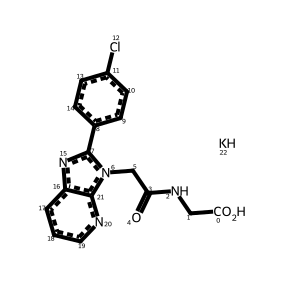 O=C(O)CNC(=O)Cn1c(-c2ccc(Cl)cc2)nc2cccnc21.[KH]